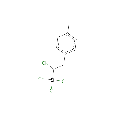 Cc1ccc(CC(Cl)[Si](Cl)(Cl)Cl)cc1